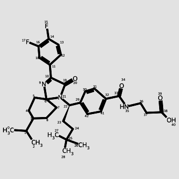 CC(C)C1CCC2(CC1)N=C(c1ccc(F)c(F)c1)C(=O)N2[C@H](CCC(C)(C)C)c1ccc(C(=O)NCCC(=O)O)cc1